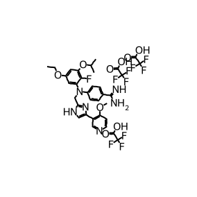 CCOc1cc(OC(C)C)c(F)c(N(Cc2nc(-c3cnccc3OC)c[nH]2)c2ccc(C(=N)N)cc2)c1.O=C(O)C(F)(F)F.O=C(O)C(F)(F)F.O=C(O)C(F)(F)F